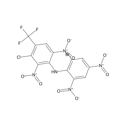 O=[N+]([O-])c1cc(Br)c(Nc2c([N+](=O)[O-])cc(C(F)(F)F)c(Cl)c2[N+](=O)[O-])c([N+](=O)[O-])c1